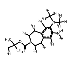 [2H]CC(C)(C)OC(=O)N1C([2H])C([2H])c2c([2H])c(N([2H])[2H])c(N(C([2H])([2H])[2H])C([2H])([2H])[2H])c([2H])c2C([2H])C1[2H]